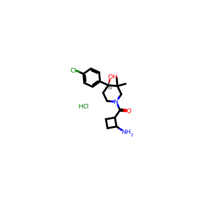 CC1(C)CN(C(=O)C2CCC2N)CC[C@]1(O)c1ccc(Cl)cc1.Cl